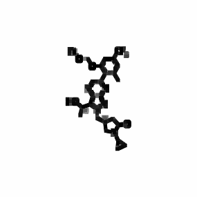 CCOCOc1cc(C(F)(F)F)cc(C)c1-c1cnc2c([C@@H](C)O)n(C[C@H]3CC(=O)N(C4CC4)C3)nc2n1